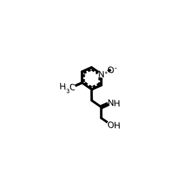 Cc1cc[n+]([O-])cc1CC(=N)CO